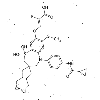 CCCCC1(CCCC)CN(c2ccc(NC(=O)C3CC3)cc2)c2cc(SC)c(OC=C(F)C(=O)O)cc2S(O)(O)C1